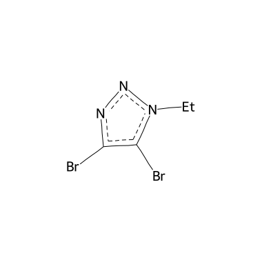 CCn1nnc(Br)c1Br